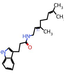 CC(C)=CCC/C(C)=C/CNC(=O)CCc1c[nH]c2ccccc12